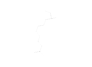 CC[C@@](C)(O)CCC[C@@H](C)CCCC(C)C